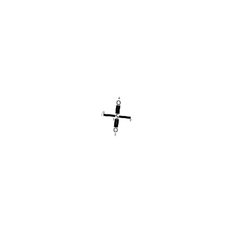 [CH]S(C)(=O)=O